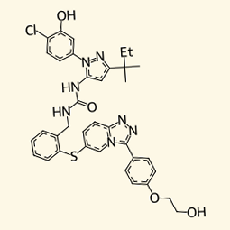 CCC(C)(C)c1cc(NC(=O)NCc2ccccc2Sc2ccc3nnc(-c4ccc(OCCO)cc4)n3c2)n(-c2ccc(Cl)c(O)c2)n1